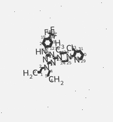 C=CCN(CC=C)c1nc(Nc2ccc(C(F)(F)F)cc2)nc(N2CCN(c3ncccc3Cl)C[C@H]2C)n1